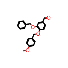 COc1ccc(COc2ccc(C=O)cc2OCc2ccccc2)cc1